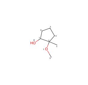 COC1(C)CCCC1O